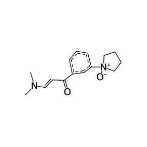 CN(C)C=CC(=O)c1cccc([N+]2([O-])CCCC2)c1